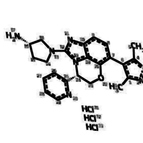 Cc1noc(C)c1-c1ccc2nc(N3CC[C@H](N)C3)n3c2c1OC[C@@H]3c1ccccn1.Cl.Cl.Cl